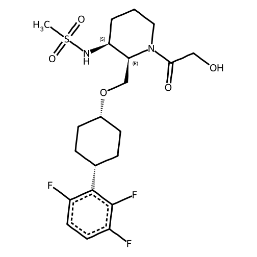 CS(=O)(=O)N[C@H]1CCCN(C(=O)CO)[C@H]1CO[C@H]1CC[C@@H](c2c(F)ccc(F)c2F)CC1